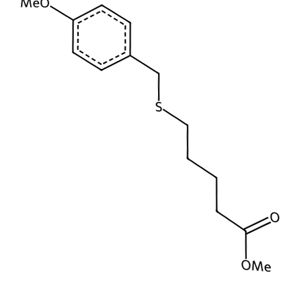 COC(=O)CCCCSCc1ccc(OC)cc1